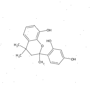 CC1(C)CC(C)(c2ccc(O)cc2O)Oc2c(O)cccc21